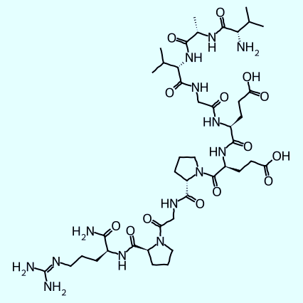 CC(C)[C@H](N)C(=O)N[C@@H](C)C(=O)N[C@H](C(=O)NCC(=O)N[C@@H](CCC(=O)O)C(=O)N[C@@H](CCC(=O)O)C(=O)N1CCC[C@H]1C(=O)NCC(=O)N1CCC[C@H]1C(=O)N[C@@H](CCCN=C(N)N)C(N)=O)C(C)C